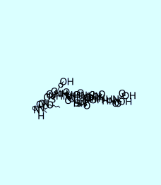 CCCCCOCN(C(=O)[C@@H](NC(=O)[C@H]1CCCCN1C)C(C)CC)[C@H](C[C@@H](OC(C)=O)c1nc(C(=O)N[C@@H](Cc2ccc(O)cc2)C[C@H](C)C(=O)NNC(=O)OCCSSC[C@@H](C)NC(=O)[C@H](CC(=O)O)NC(=O)[C@H](CC(=O)O)NC(=O)Cc2ccc(CNC(=O)NCCCC[C@@H](C)NC(=O)N[C@@H](CCC(=O)O)C(=O)O)cc2)cs1)C(C)C